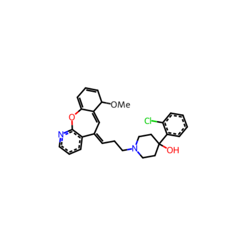 COC1C=CC=C2Oc3ncccc3C(=CCCN3CCC(O)(c4ccccc4Cl)CC3)C=C21